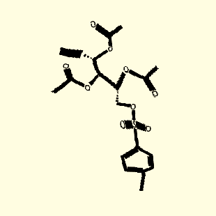 C#C[C@H](OC(C)=O)[C@H](OC(C)=O)[C@@H](COS(=O)(=O)c1ccc(C)cc1)OC(C)=O